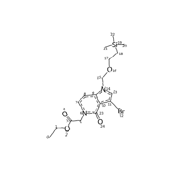 CCOC(=O)Cn1ccc2c(c(Br)cn2COCC[Si](C)(C)C)c1=O